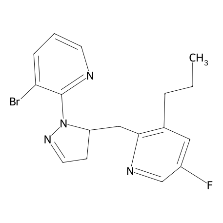 CCCc1cc(F)cnc1CC1CC=NN1c1ncccc1Br